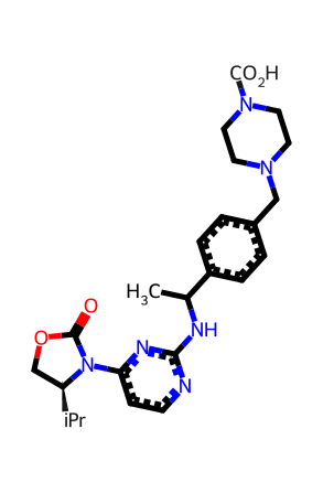 CC(Nc1nccc(N2C(=O)OC[C@@H]2C(C)C)n1)c1ccc(CN2CCN(C(=O)O)CC2)cc1